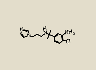 CC(C)(NCCCn1ccnc1)c1ccc(Cl)c(N)c1